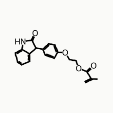 C=C(C)C(=O)OCCOc1ccc(C2C(=O)Nc3ccccc32)cc1